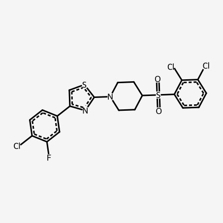 O=S(=O)(c1cccc(Cl)c1Cl)C1CCN(c2nc(-c3ccc(Cl)c(F)c3)cs2)CC1